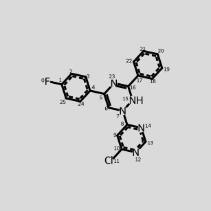 Fc1ccc(C2=CN(c3cc(Cl)ncn3)NC(c3ccccc3)=N2)cc1